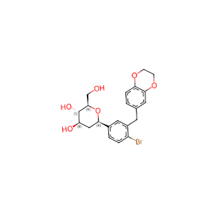 OC[C@H]1O[C@@H](c2ccc(Br)c(Cc3ccc4c(c3)OCCO4)c2)C[C@@H](O)[C@@H]1O